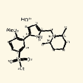 CCS(=O)(=O)c1ccc(OC)c(-c2ccc(CN3C(C)CCCC3C)[nH]2)c1.Cl